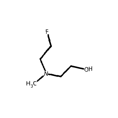 CN(CCO)CCF